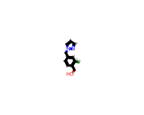 OCc1ccc(Cn2cccn2)cc1F